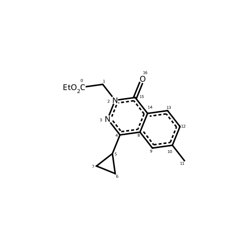 CCOC(=O)Cn1nc(C2CC2)c2cc(C)ccc2c1=O